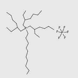 CCCCCCCCCC[P+](CC(CC)CCCC)(CC(CC)CCCC)CC(CC)CCCC.F[P-](F)(F)(F)(F)F